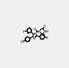 O=C1CN(C(=O)N2C(c3ccc(F)cc3)=NC(c3ccc(Cl)cc3)C2c2cccc(F)c2)CCN1